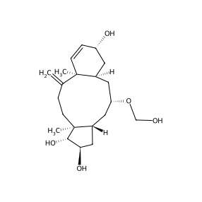 C=C1CC[C@@]2(C)[C@H](C[C@@H](OCO)C[C@@H]3C[C@@H](O)C=C[C@]13C)C[C@@H](O)[C@@H]2O